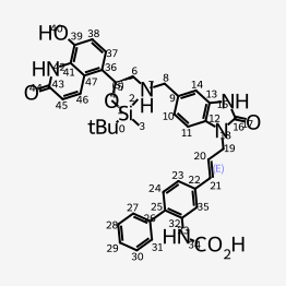 CC(C)(C)[Si](C)(C)O[C@H](CNCc1ccc2c(c1)[nH]c(=O)n2C/C=C/c1ccc(-c2ccccc2)c(NC(=O)O)c1)c1ccc(O)c2[nH]c(=O)ccc12